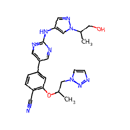 CC(Cn1ccnn1)Oc1cc(-c2cnc(Nc3cnn(C(C)CO)c3)nc2)ccc1C#N